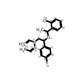 C=CN(CC(OC(C)c1ccccc1Cl)c1ccc(F)cc1)/N=C\N